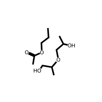 CC(O)COC(C)CO.CCCOC(C)=O